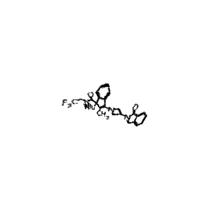 CCCCC1(C(=O)NCC(F)(F)F)C(C)=C(N2CC(N3Cc4ccccc4C3=O)C2)c2ccccc21